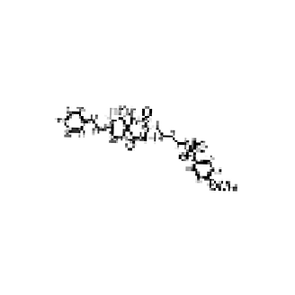 CCCN1C(=O)[C@H](CCCCNS(=O)(=O)c2ccc(OC)cc2)NC(=O)C12CCN(CCc1ccccc1)CC2